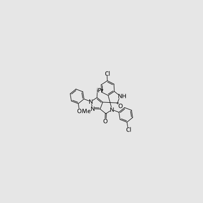 COc1ccccc1-n1nc2c(c1C(C)C)C1(C(=O)Nc3cc(Cl)ccc31)N(c1cccc(Cl)c1)C2=O